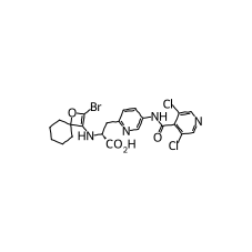 O=C(Nc1ccc(C[C@H](NC2=C(Br)OC23CCCCC3)C(=O)O)nc1)c1c(Cl)cncc1Cl